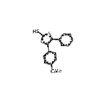 COc1ccc(-c2nc(S)sc2-c2ccccc2)cc1